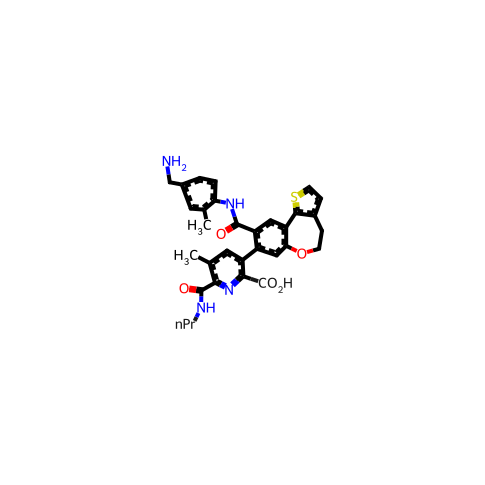 CCCNC(=O)c1nc(C(=O)O)c(-c2cc3c(cc2C(=O)Nc2ccc(CN)cc2C)-c2sccc2CCO3)cc1C